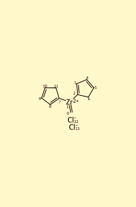 [CH2]=[Zr+2]([C]1=CC=CC1)[C]1=CC=CC1.[Cl-].[Cl-]